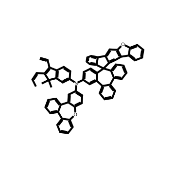 C=CC1=C(/C=C\C)C(C)(C)c2cc(N(c3ccc4c(c3)-c3ccccc3-c3ccccc3O4)c3ccc4c(c3)-c3ccccc3-c3ccccc3C43c4ccccc4-c4cc5oc6ccccc6c5cc43)ccc21